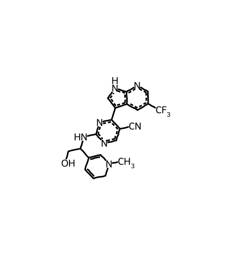 CN1C=C(C(CO)Nc2ncc(C#N)c(-c3c[nH]c4ncc(C(F)(F)F)cc34)n2)C=CC1